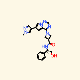 Cn1cc(-c2cc3c(N4CC(C(=O)N[C@@H](CO)c5ccccc5)C4)ncnn3c2)cn1